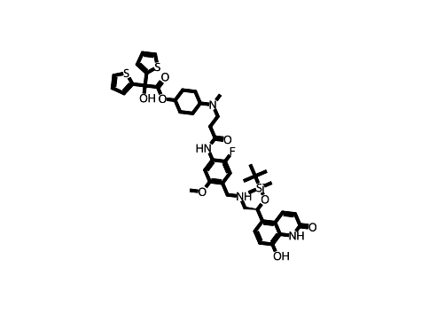 COc1cc(NC(=O)CCN(C)C2CCC(OC(=O)C(O)(c3cccs3)c3cccs3)CC2)c(F)cc1CNC[C@@H](O[Si](C)(C)C(C)(C)C)c1ccc(O)c2[nH]c(=O)ccc12